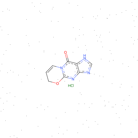 Cl.O=c1c2[nH]cnc2nc2n1C=CCO2